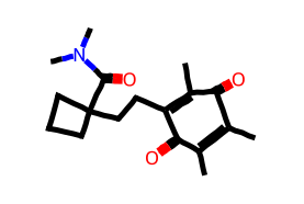 CC1=C(C)C(=O)C(CCC2(C(=O)N(C)C)CCC2)=C(C)C1=O